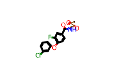 CS(=O)(=O)NC(=O)c1ccc(Oc2cccc(Cl)c2)c(F)c1